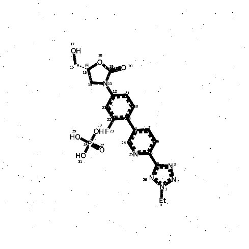 CCn1nnc(-c2ccc(-c3ccc(N4C[C@H](CO)OC4=O)cc3F)cn2)n1.O=P(O)(O)O